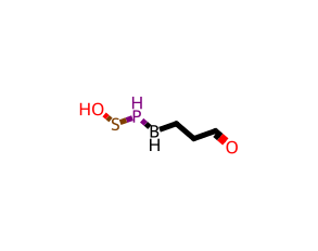 O=CCCBPSO